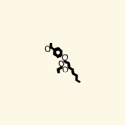 C=CC(=O)OC(CCCCCCC)Oc1ccc(C(C)=O)cc1